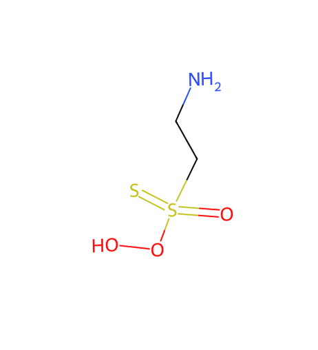 NCCS(=O)(=S)OO